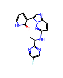 CC(Nc1ccc2ncc(-c3ccc[nH]c3=O)n2n1)c1ncc(F)cn1